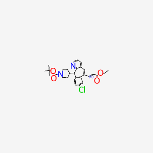 CCOC(=O)/C=C/C1=Cc2cccnc2C(C2CCN(C(=O)OC(C)(C)C)CC2)c2ccc(Cl)cc21